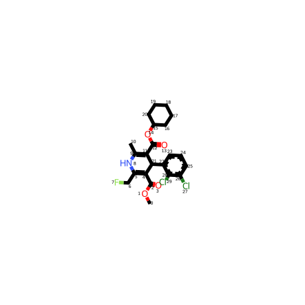 COC(=O)C1=C(CF)NC(C)=C(C(=O)OC2CCCCC2)C1c1cccc(Cl)c1Cl